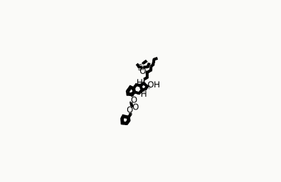 CCCCCC(CC[C@@H]1[C@H]2Cc3cccc(OCC(=O)OCc4ccccc4)c3C[C@H]2C[C@H]1O)O[Si](CC)(CC)CC